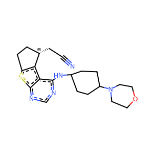 N#CC[C@H]1CCc2sc3ncnc(NC4CCC(N5CCOCC5)CC4)c3c21